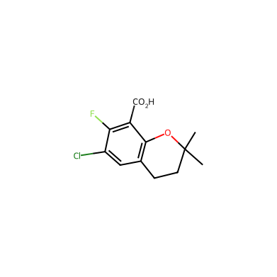 CC1(C)CCc2cc(Cl)c(F)c(C(=O)O)c2O1